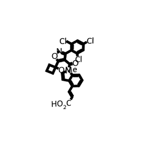 COC1(c2onc(-c3c(Cl)cc(Cl)cc3Cl)c2C(=O)n2ccc3c(/C=C/C(=O)O)cccc32)CCC1